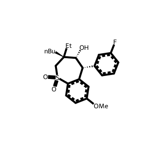 CCCC[C@]1(CC)CS(=O)(=O)c2ccc(OC)cc2[C@@H](c2cccc(F)c2)[C@H]1O